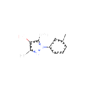 CCCCc1c(O)c(CC)nn1-c1cccc(C)c1